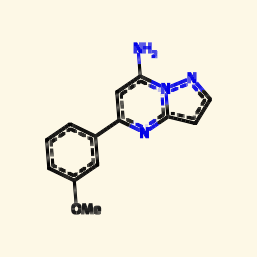 COc1cccc(-c2cc(N)n3nccc3n2)c1